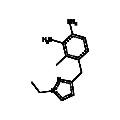 CCn1ccc(Cc2ccc(N)c(N)c2C)n1